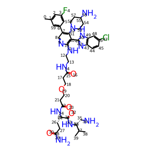 Cc1cc(F)cc(-c2cnc(NCCNC(=O)CCOCCC(=O)N[C@@H](CCC(N)=O)C(=O)N[C@H](CN)C(C)C)c(-c3nc4ccc(Cl)cc4[nH]3)c2N2CCC(N)CC2)c1